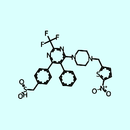 O=[N+]([O-])c1ccc(CN2CCN(c3nc(C(F)(F)F)nc(-c4ccc(C[SH](=O)=O)cc4)c3-c3ccccc3)CC2)s1